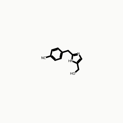 N#Cc1ccc(Cc2ncc(CO)[nH]2)cc1